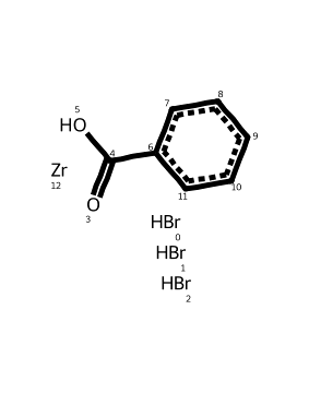 Br.Br.Br.O=C(O)c1ccccc1.[Zr]